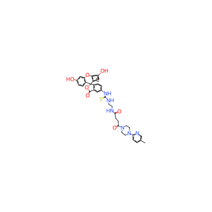 Cc1ccc(N2CCN(C(=O)CCC(=O)NCCNC(=S)Nc3ccc4c(c3)C(=O)OC43c4ccc(O)cc4Oc4cc(O)ccc43)CC2)nc1